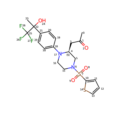 CC(=O)C[C@H]1CN(S(=O)(=O)c2cccs2)CCN1c1ccc(C(C)(O)C(F)(F)F)cc1